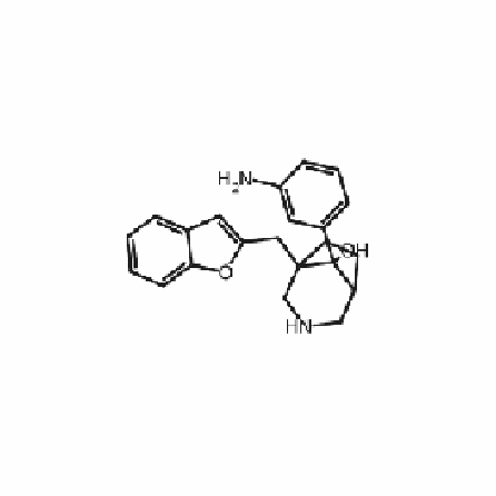 Nc1cccc(C2(O)C3CCC2(Cc2cc4ccccc4o2)CNC3)c1